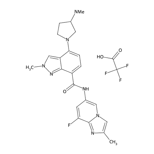 CNC1CCN(c2ccc(C(=O)Nc3cc(F)c4nc(C)cn4c3)c3nn(C)cc23)C1.O=C(O)C(F)(F)F